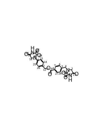 O=C1CN(Cc2ccc(C(=O)OCc3ccc(N4CC(=O)NS4(=O)=O)cc3)cc2)S(=O)(=O)N1